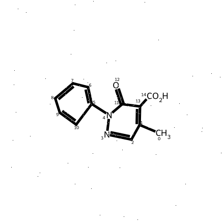 Cc1cnn(-c2ccccc2)c(=O)c1C(=O)O